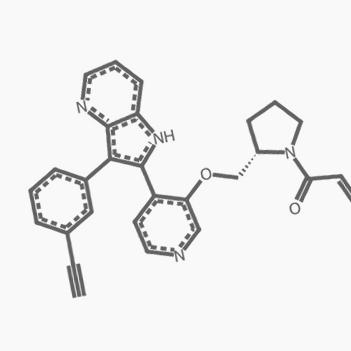 C#Cc1cccc(-c2c(-c3ccncc3OC[C@@H]3CCCN3C(=O)C=C)[nH]c3cccnc23)c1